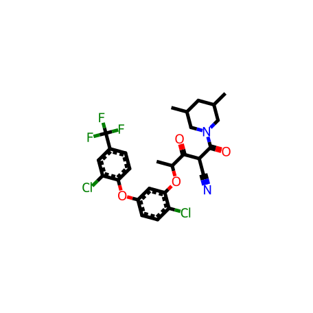 CC1CC(C)CN(C(=O)C(C#N)C(=O)C(C)Oc2cc(Oc3ccc(C(F)(F)F)cc3Cl)ccc2Cl)C1